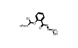 CCCCCC(CC)Oc1ccccc1C(=O)N=N[SiH2]CCC